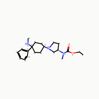 CCOC(=O)N(C)[C@@H]1CCN(C2CCC(NC)(c3ccccc3)CC2)C1